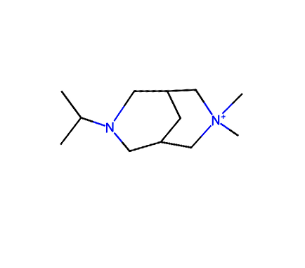 CC(C)N1CC2CC(C1)C[N+](C)(C)C2